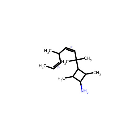 C/C=C\C(C)/C=C\C(C)(C)C1C(C)C(N)C1C